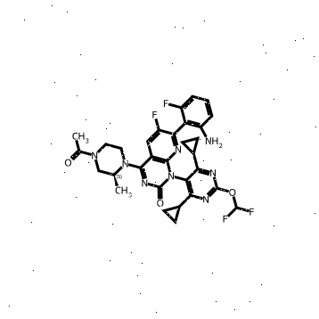 CC(=O)N1CCN(c2nc(=O)n(-c3c(C4CC4)nc(OC(F)F)nc3C3CC3)c3nc(-c4c(N)cccc4F)c(F)cc23)[C@@H](C)C1